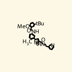 COc1ccc(C(C)(C)C)cc1C(=O)Nc1ccc(C)c(-c2cc(C(=O)NCCc3cccnc3)on2)c1